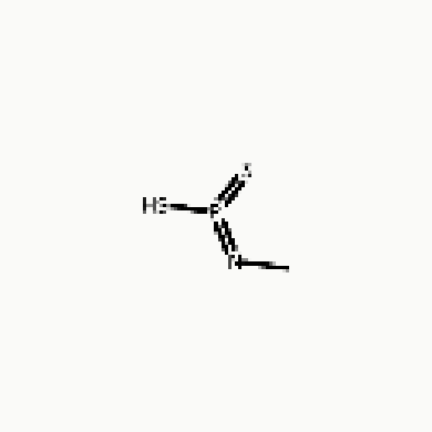 C/N=P(=S)/S